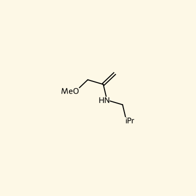 C=C(COC)NCC(C)C